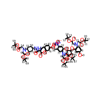 COc1ccc(N(CC(=O)OC(C)(C)C)CC(=O)OC(C)(C)C)c(O[C@@H]2CCC[C@@H]2Oc2cc([N+](=O)[O-])c(COc3ccc4cc(C(=O)N[C@H]5CC[C@H](N(CC(=O)OC(C)(C)C)CC(=O)OC(C)(C)C)CC5)c(=O)oc4c3)cc2N(CC(=O)OC(C)(C)C)CC(=O)OC(C)(C)C)c1